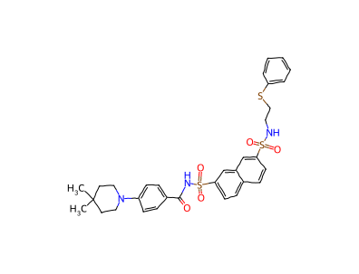 CC1(C)CCN(c2ccc(C(=O)NS(=O)(=O)c3ccc4ccc(S(=O)(=O)NCCSc5ccccc5)cc4c3)cc2)CC1